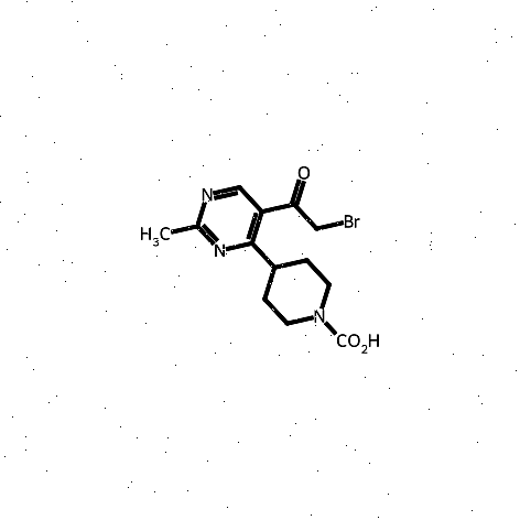 Cc1ncc(C(=O)CBr)c(C2CCN(C(=O)O)CC2)n1